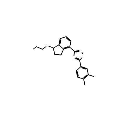 Cc1ccc(-c2nc(-c3cccc4c3CCC4NCCO)no2)cc1C